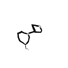 N[C@H]1CCCN(C2COC2)C1